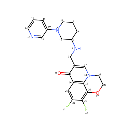 O=c1c(CNC2CCCN(c3cccnc3)C2)cn2c3c(c(F)c(F)cc13)OCC2